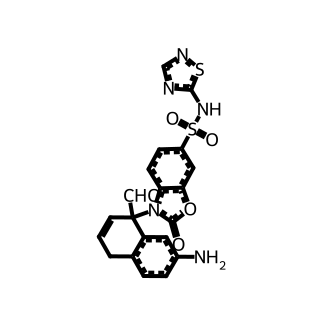 Nc1ccc2c(c1)C(C=O)(n1c(=O)oc3cc(S(=O)(=O)Nc4ncns4)ccc31)C=CC2